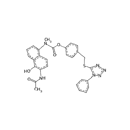 CC(=O)Nc1ccc2c(N(C)C(=O)Oc3ccc(CSc4nnnn4-c4ccccc4)cc3)cccc2c1O